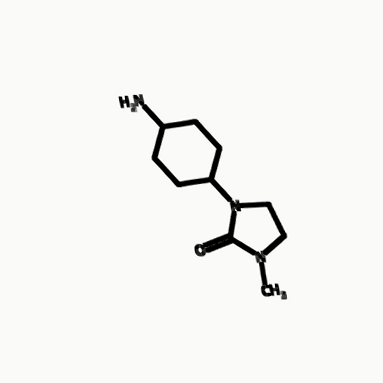 CN1CCN(C2CCC(N)CC2)C1=O